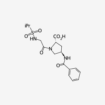 CC(C)S(=O)(=O)NCC(=O)N1C[C@H](NC(=O)c2ccccc2)C[C@H]1C(=O)O